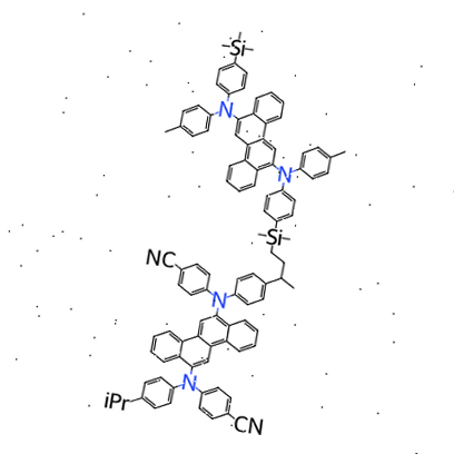 Cc1ccc(N(c2ccc([Si](C)(C)C)cc2)c2cc3c4ccccc4c(N(c4ccc(C)cc4)c4ccc([Si](C)(C)CCC(C)c5ccc(N(c6ccc(C#N)cc6)c6cc7c8ccccc8c(N(c8ccc(C#N)cc8)c8ccc(C(C)C)cc8)cc7c7ccccc67)cc5)cc4)cc3c3ccccc23)cc1